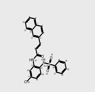 O=C(C=Cc1ccc2ccccc2c1)Nc1cc(Cl)ccc1NS(=O)(=O)c1ccccc1